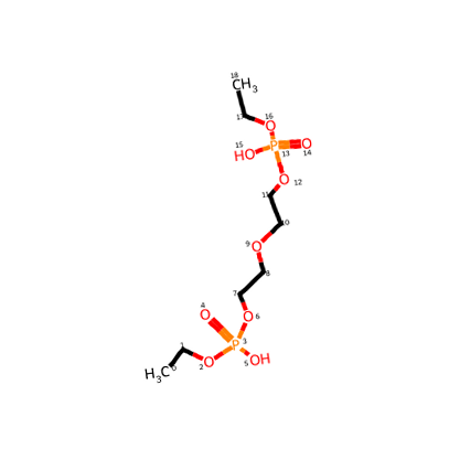 CCOP(=O)(O)OCCOCCOP(=O)(O)OCC